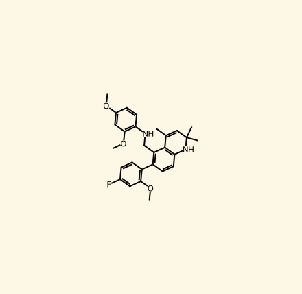 COc1ccc(NCc2c(-c3ccc(F)cc3OC)ccc3c2C(C)=CC(C)(C)N3)c(OC)c1